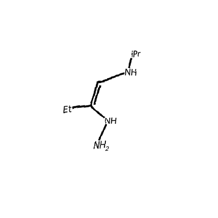 CC/C(=C/NC(C)C)NN